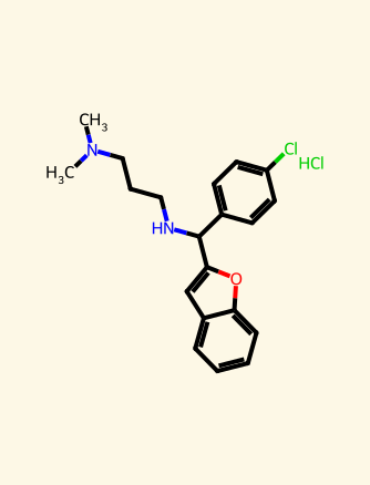 CN(C)CCCNC(c1ccc(Cl)cc1)c1cc2ccccc2o1.Cl